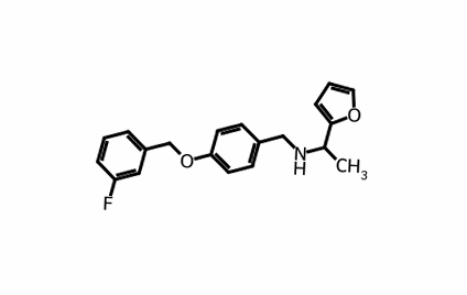 CC(NCc1ccc(OCc2cccc(F)c2)cc1)c1ccco1